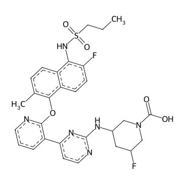 CCCS(=O)(=O)Nc1c(F)ccc2c(Oc3ncccc3-c3ccnc(NC4CC(F)CN(C(=O)O)C4)n3)c(C)ccc12